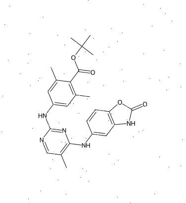 Cc1cnc(Nc2cc(C)c(C(=O)OC(C)(C)C)c(C)c2)nc1Nc1ccc2oc(=O)[nH]c2c1